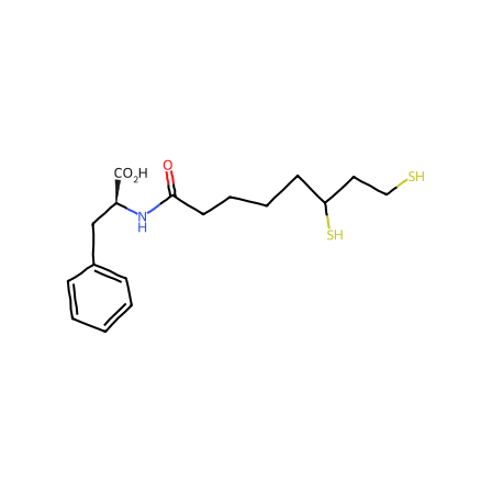 O=C(CCCCC(S)CCS)N[C@@H](Cc1ccccc1)C(=O)O